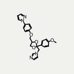 COc1ccc(C2(Cn3ccnc3)OCC(COc3ccc(-n4cccn4)cc3)O2)cc1